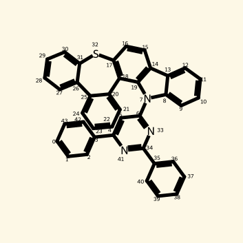 c1ccc(-c2cc(-n3c4ccccc4c4ccc5c(c43)-c3ccccc3-c3ccccc3S5)nc(-c3ccccc3)n2)cc1